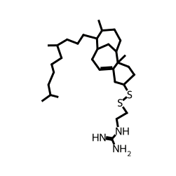 CC(C)CCCCC(C)CCCC1C(C)CCC2CC1CC=C1CC(SSCCNC(=N)N)CCC12C